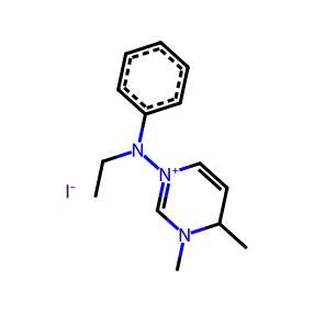 CCN(c1ccccc1)[N+]1=CN(C)C(C)C=C1.[I-]